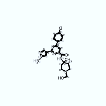 Cn1cc(-c2nc(C(=O)NC3(C)CCN(CO)CC3)cc(-c3ccc(Cl)cc3)n2)cn1